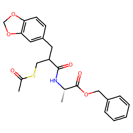 CC(=O)SCC(Cc1ccc2c(c1)OCO2)C(=O)N[C@@H](C)C(=O)OCc1ccccc1